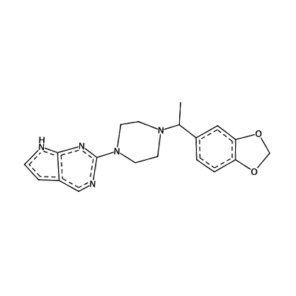 CC(c1ccc2c(c1)OCO2)N1CCN(c2ncc3cc[nH]c3n2)CC1